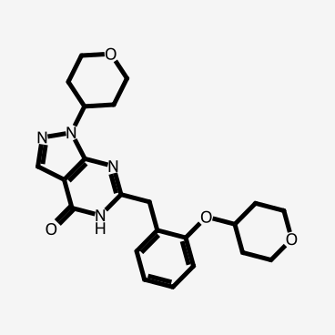 O=c1[nH]c(Cc2ccccc2OC2CCOCC2)nc2c1cnn2C1CCOCC1